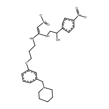 O=[N+]([O-])C=C(NCCCOc1cccc(CN2CCCCC2)c1)NCC(O)c1ccc([N+](=O)[O-])cc1